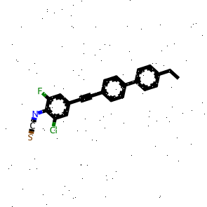 CCc1ccc(-c2ccc(C#Cc3cc(F)c(N=C=S)c(Cl)c3)cc2)cc1